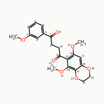 COc1cccc(C(=O)CCC(=O)c2c(OC)cc3c(c2OC)OCCO3)c1